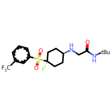 CC(C)(C)NC(=O)CN[C@H]1CC[C@@](F)(S(=O)(=O)c2cccc(C(F)(F)F)c2)CC1